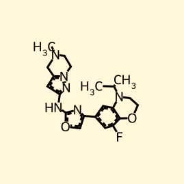 CC(C)N1CCOc2c(F)cc(-c3coc(Nc4cc5n(n4)CCN(C)C5)n3)cc21